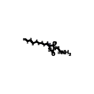 CCCCCCCC/C=C1\SC(=O)N(CCN)C1=O